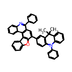 CC1(C)c2ccccc2N(c2ccccc2)c2ccc(-c3cc4c(-c5ccccc5)nc5ccccc5c4c4c3oc3ccccc34)cc21